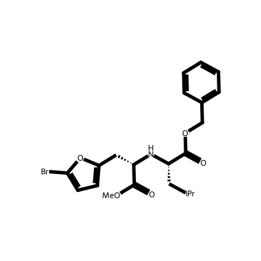 COC(=O)[C@H](Cc1ccc(Br)o1)N[C@@H](CC(C)C)C(=O)OCc1ccccc1